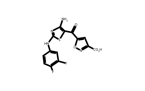 Nc1nc(Nc2ccc(F)c(F)c2)sc1C(=O)c1cc(C(=O)O)no1